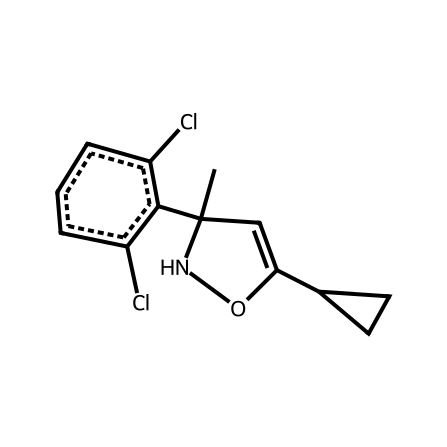 CC1(c2c(Cl)cccc2Cl)C=C(C2CC2)ON1